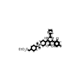 CCOC(=O)CC1CCC(S(=O)(=O)N2CCC(C3=C(C(=O)OC)C(c4ccc(F)cc4Cl)N=C(c4nccs4)N3)CC2)CC1